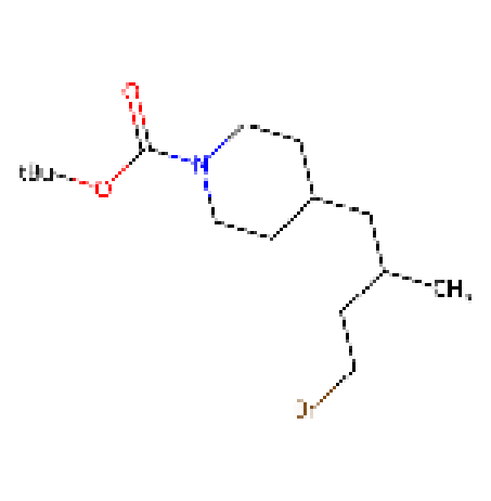 CC(CCBr)CC1CCN(C(=O)OC(C)(C)C)CC1